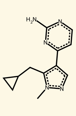 Cn1ncc(-c2ccnc(N)n2)c1CC1CC1